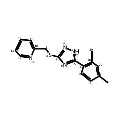 Cc1ccc(-c2nc(SCc3ccccn3)n[nH]2)c(C)c1